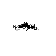 Cn1cc(-c2ccnc(-n3ccn4c5c(cc4c3=O)CC(C)(C)C5)c2CO)cc(Nc2cn(CC(F)(F)F)nn2)c1=O